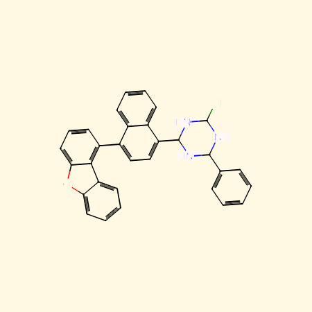 ClC1NC(c2ccccc2)NC(c2ccc(-c3cccc4oc5ccccc5c34)c3ccccc23)N1